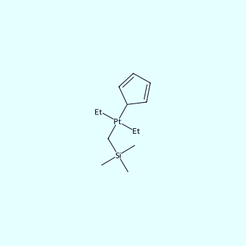 C[CH2][Pt]([CH2]C)([CH2][Si](C)(C)C)[CH]1C=CC=C1